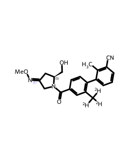 [2H]C([2H])([2H])c1cc(C(=O)N2C/C(=N/OC)C[C@H]2CO)ccc1-c1cccc(C#N)c1C